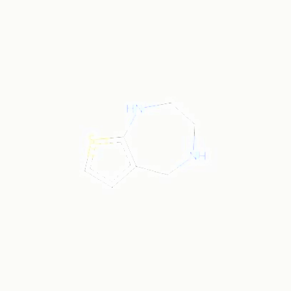 c1cc2c(s1)NCCNC2